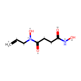 C=CCN(O)C(=O)CCC(=O)NO